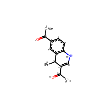 COC(=O)c1ccc2c(c1)C(C(C)C)C(C(=O)C(F)(F)F)=CN2